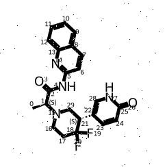 C[C@@H](C(=O)Nc1ccc2ccccc2n1)N1CCC(F)(F)[C@@H](c2ccc(=O)[nH]c2)C1